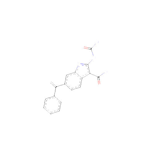 C=C(c1ccccc1)c1ccc2c(C(N)=O)c(NC(N)=O)[nH]c2c1